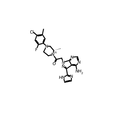 Cc1cc(N2CCN(C(=O)Cn3nc(-c4ncc[nH]4)c4c(N)ncnc43)[C@@H](C)C2)c(F)cc1Cl